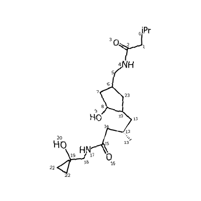 CC(C)CC(=O)NCC1CC(O)C(C[C@H](C)CC(=O)NCC2(O)CC2)C1